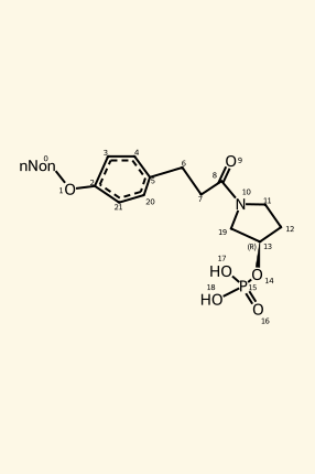 CCCCCCCCCOc1ccc(CCC(=O)N2CC[C@@H](OP(=O)(O)O)C2)cc1